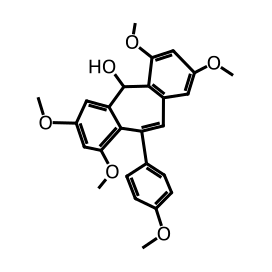 COc1ccc(C2=Cc3cc(OC)cc(OC)c3C(O)c3cc(OC)cc(OC)c32)cc1